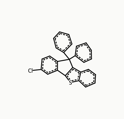 Clc1ccc2c(c1)-c1sc3ccccc3c1C2(c1ccccc1)c1ccccc1